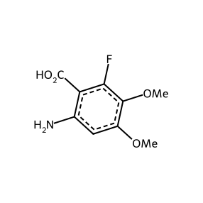 COc1cc(N)c(C(=O)O)c(F)c1OC